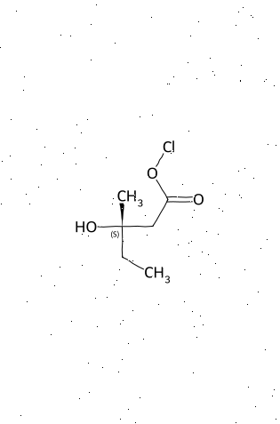 CC[C@](C)(O)CC(=O)OCl